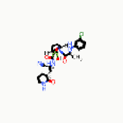 C[C@@H](Nc1cccc(Cl)c1)C(=O)N1[C@H]2CC[C@@H]([C@@H]1C(=O)N[C@H](C#N)C[C@H]1CCCNC1=O)C(F)(F)C2